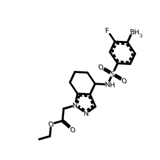 Bc1ccc(S(=O)(=O)NC2CCCc3c2cnn3CC(=O)OCC)cc1F